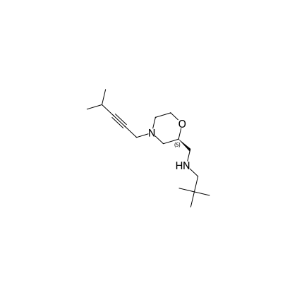 CC(C)C#CCN1CCO[C@@H](CNCC(C)(C)C)C1